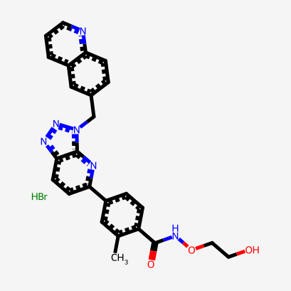 Br.Cc1cc(-c2ccc3nnn(Cc4ccc5ncccc5c4)c3n2)ccc1C(=O)NOCCO